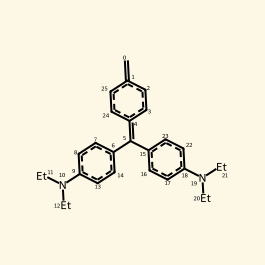 C=c1ccc(=C(c2ccc(N(CC)CC)cc2)c2ccc(N(CC)CC)cc2)cc1